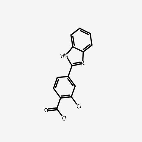 O=C(Cl)c1ccc(-c2nc3ccccc3[nH]2)cc1Cl